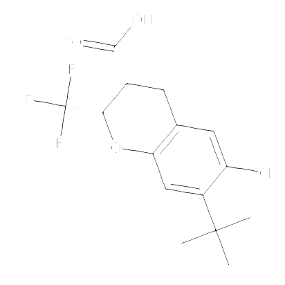 CC(C)(C)c1cc2c(cc1Cl)C[C@@H](C(=O)O)[C@@H](C(F)(F)F)O2